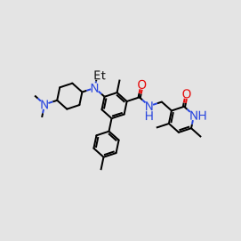 CCN(c1cc(-c2ccc(C)cc2)cc(C(=O)NCc2c(C)cc(C)[nH]c2=O)c1C)C1CCC(N(C)C)CC1